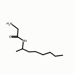 CCCCCCC(C)NC(=O)CN